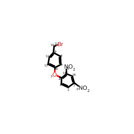 O=[N+]([O-])c1ccc(Oc2ccc(CBr)cc2)c([N+](=O)[O-])c1